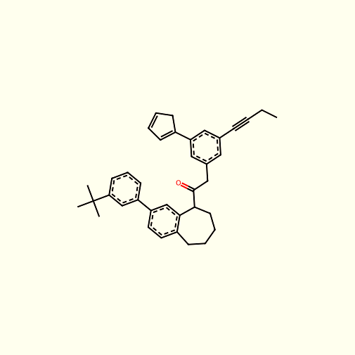 CCC#Cc1cc(CC(=O)C2CCCCc3ccc(-c4cccc(C(C)(C)C)c4)cc32)cc(C2=CC=CC2)c1